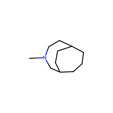 CN1CCC2CCCC(CC2)C1